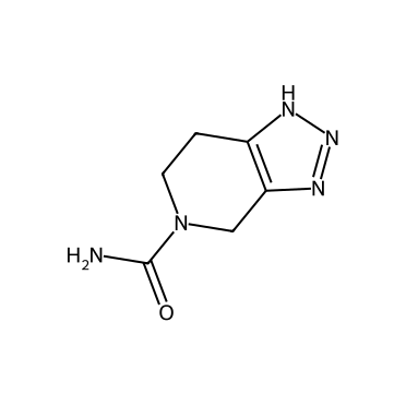 NC(=O)N1CCc2[nH]nnc2C1